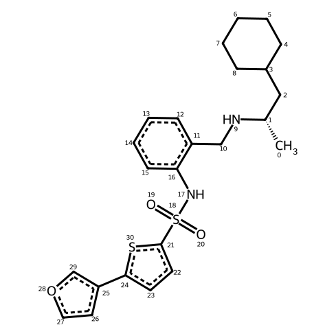 C[C@@H](CC1CCCCC1)NCc1ccccc1NS(=O)(=O)c1ccc(-c2ccoc2)s1